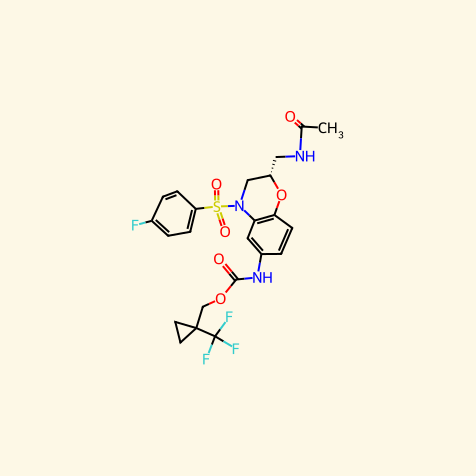 CC(=O)NC[C@H]1CN(S(=O)(=O)c2ccc(F)cc2)c2cc(NC(=O)OCC3(C(F)(F)F)CC3)ccc2O1